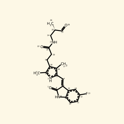 Cc1[nH]c(/C=C2\C(=O)Nc3ccc(F)cc32)c(C)c1CCC(=O)NC[C@H](C)C=O